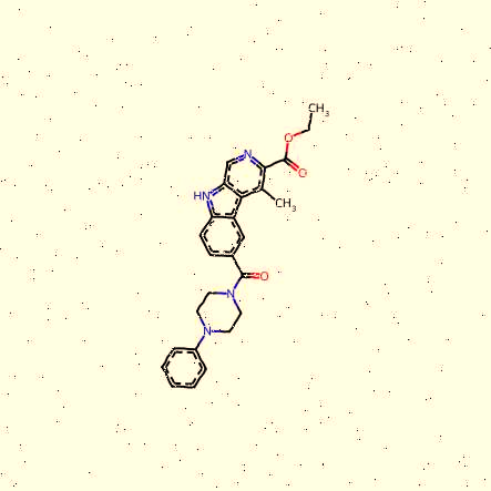 CCOC(=O)c1ncc2[nH]c3ccc(C(=O)N4CCN(c5ccccc5)CC4)cc3c2c1C